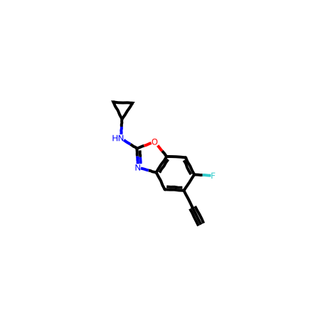 C#Cc1cc2nc(NC3CC3)oc2cc1F